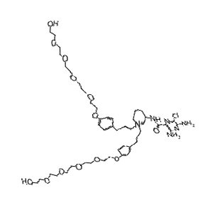 Nc1nc(N)c(C(=O)NC2CCC[N+](CCCc3ccc(OCCOCCOCCOCCOCCO)cc3)(CCCc3ccc(OCCOCCOCCOCCOCCO)cc3)C2)nc1Cl